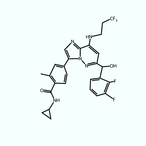 Cc1cc(-c2cnc3c(NCCC(F)(F)F)cc(C(O)c4cccc(F)c4F)nn23)ccc1C(=O)NC1CC1